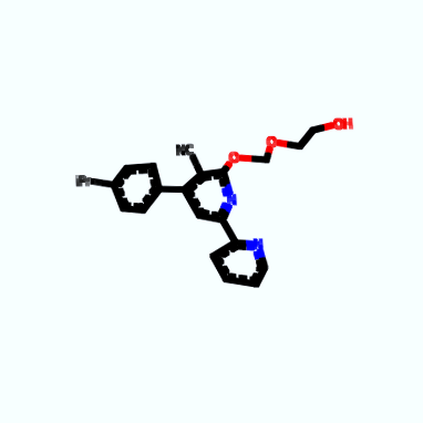 CC(C)c1ccc(-c2cc(-c3ccccn3)nc(OCOCCO)c2C#N)cc1